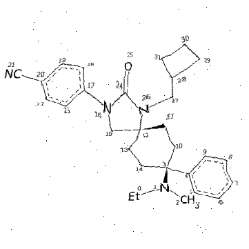 CCN(C)[C@]1(c2ccccc2)CC[C@@]2(CC1)CN(c1ccc(C#N)cc1)C(=O)N2CC1CCC1